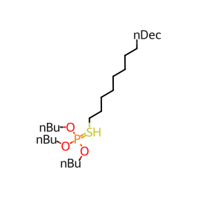 CCCCCCCCCCCCCCCCCC[SH]=P(OCCCC)(OCCCC)OCCCC